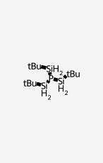 CC(C)(C)[SiH2]P([SiH2]C(C)(C)C)[SiH2]C(C)(C)C